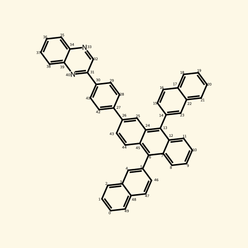 c1ccc2cc(-c3c4ccccc4c(-c4ccc5ccccc5c4)c4cc(-c5ccc(-c6cnc7ccccc7n6)cc5)ccc34)ccc2c1